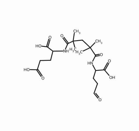 CC(C)(CC(C)(C)C(=O)NC(CCC(=O)O)C(=O)O)C(=O)NC(CCC=O)C(=O)O